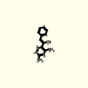 N#C/C(=C\c1ccccc1)c1nnc(N)nc1N